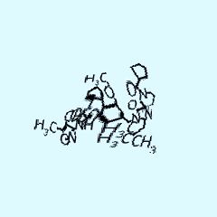 CCOCc1cc(CN2C(=O)[C@]3(CCCN(C(=O)C4CCCC4)C3)N=C2CC(C)(C)C)ccc1-c1ccccc1S(=O)(=O)Nc1noc(C)c1C